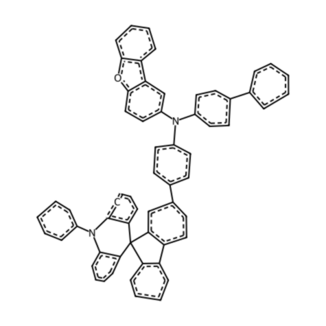 c1ccc(-c2ccc(N(c3ccc(-c4ccc5c(c4)C4(c6ccccc6-5)c5ccccc5N(c5ccccc5)c5ccccc54)cc3)c3ccc4oc5ccccc5c4c3)cc2)cc1